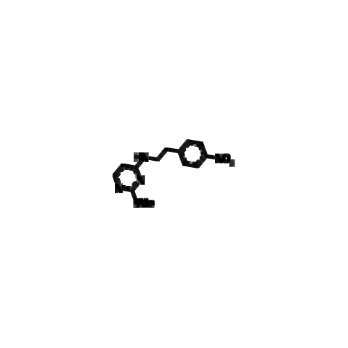 CSc1nccc(NCCc2ccc([N+](=O)[O-])cc2)n1